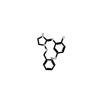 COc1ccc(Cl)c(/N=C2/NCCN2OCc2ccccc2)c1